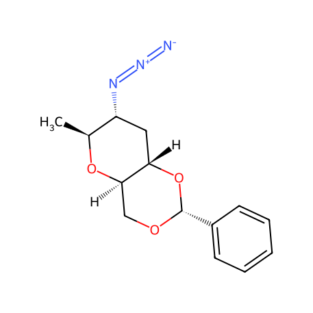 C[C@@H]1O[C@@H]2CO[C@@H](c3ccccc3)O[C@H]2C[C@H]1N=[N+]=[N-]